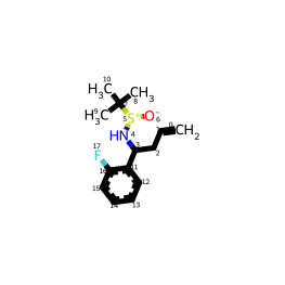 C=CCC(N[S+]([O-])C(C)(C)C)c1ccccc1F